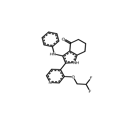 O=C1CCCc2[nH]c(-c3ccncc3OCC(F)F)c(Nc3ccccc3)c21